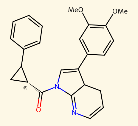 COc1ccc(C2=CN(C(=O)[C@@H]3CC3c3ccccc3)C3=NC=CCC23)cc1OC